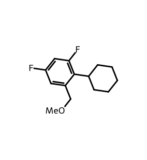 COCc1cc(F)cc(F)c1C1CCCCC1